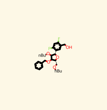 CCCCOC[C@H]1O[C@@H](c2cc(CO)c(F)cc2F)C(OCCCC)C1OCc1ccccc1